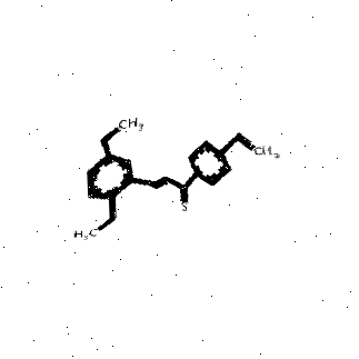 CCc1ccc(C(=S)C=Cc2cc(CC)ccc2CC)cc1